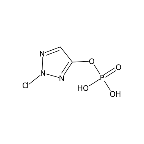 O=P(O)(O)Oc1cnn(Cl)n1